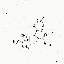 CC(=O)[C@@H]1CCN(C(C)(C)C)C[C@H]1c1ccc(Cl)cc1F